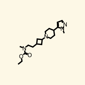 CCOC(=O)N(C)CCC1CC(N2CCC(c3ccnn3C)CC2)C1